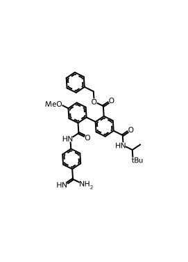 COc1ccc(-c2ccc(C(=O)NC(C)C(C)(C)C)cc2C(=O)OCc2ccccc2)c(C(=O)Nc2ccc(C(=N)N)cc2)c1